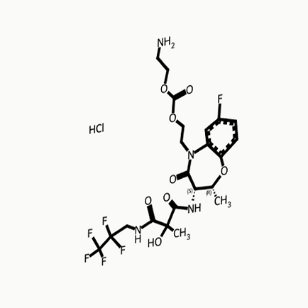 C[C@H]1Oc2ccc(F)cc2N(CCOC(=O)OCCN)C(=O)[C@H]1NC(=O)C(C)(O)C(=O)NCC(F)(F)C(F)(F)F.Cl